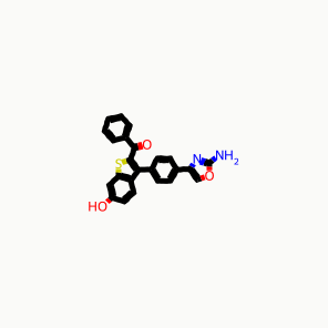 Nc1nc(-c2ccc(-c3c(C(=O)c4ccccc4)sc4cc(O)ccc34)cc2)co1